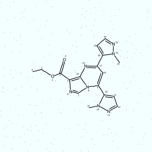 CCOC(=O)c1ncn2c(-c3ccnn3C)cc(-c3ccnn3C)nc12